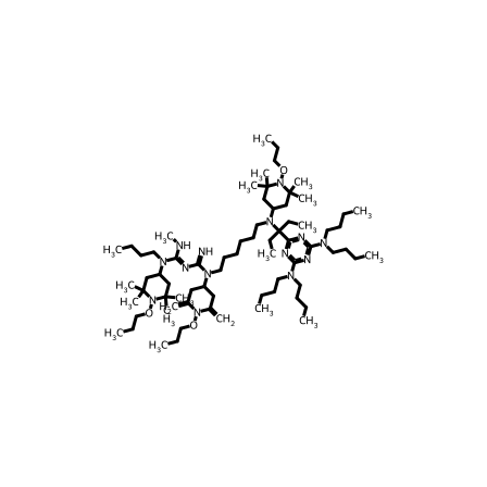 C=C1CC(N(CCCCCCN(C2CC(C)(C)N(OCCC)C(C)(C)C2)C(CC)(CC)c2nc(N(CCCC)CCCC)nc(N(CCCC)CCCC)n2)C(=N)/N=C(\NC)N(CCCC)C2CC(C)(C)N(OCCC)C(C)(C)C2)CC(=C)N1OCCC